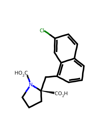 O=C(O)N1CCC[C@]1(Cc1cccc2ccc(Cl)cc12)C(=O)O